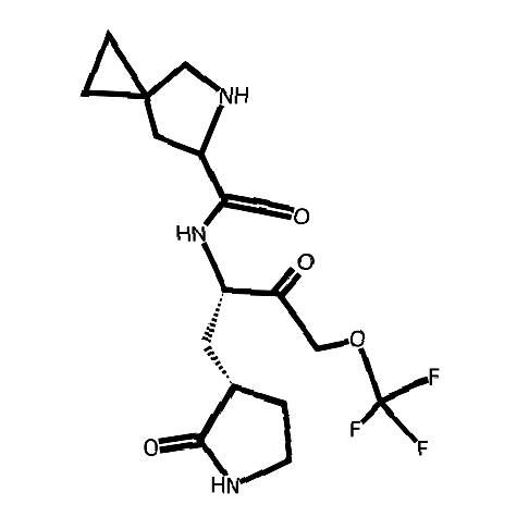 O=C(N[C@@H](C[C@@H]1CCNC1=O)C(=O)COC(F)(F)F)C1CC2(CC2)CN1